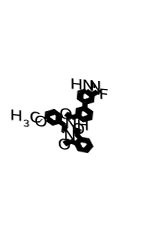 COc1cccc(C(CN2C(=O)c3ccccc3C2=O)NC(=O)c2cccc(-c3ccc4[nH]nc(F)c4c3)c2)c1